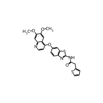 COc1cc2nccc(Oc3ccc4nc(NC(=O)Cc5cccs5)sc4c3)c2cc1OC